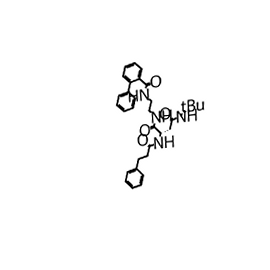 CC(C)(C)NC(=O)C[C@H](NC(=O)CCc1ccccc1)C(=O)NCCNC(=O)c1ccccc1-c1ccccc1